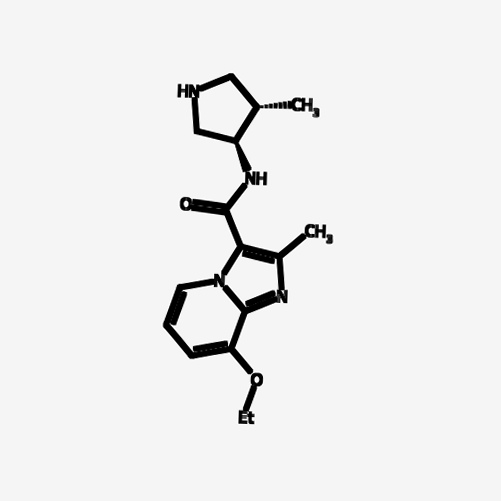 CCOc1cccn2c(C(=O)N[C@H]3CNC[C@@H]3C)c(C)nc12